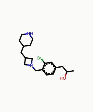 CC(O)Cc1ccc(CN2CC(CC3CCNCC3)C2)c(Br)c1